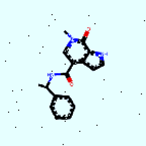 CC(NC(=O)c1cn(C)c(=O)c2[nH]ccc12)c1ccccc1